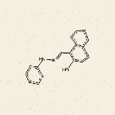 Oc1ccc2ccccc2c1C=NNc1ccccn1